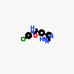 CC(C(=O)Nc1ccc(Cl)cc1)[C@H]1CC[C@H](c2ccnc3cn[nH]c32)CC1